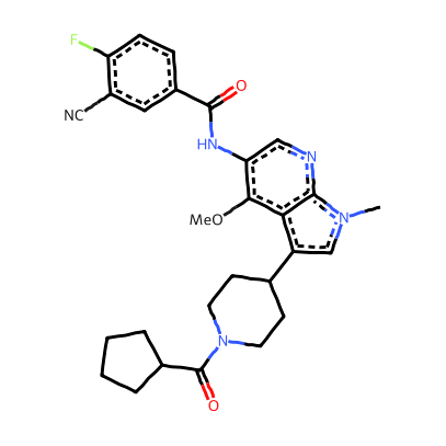 COc1c(NC(=O)c2ccc(F)c(C#N)c2)cnc2c1c(C1CCN(C(=O)C3CCCC3)CC1)cn2C